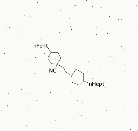 CCCCCCCC1CCC(CCC2(C#N)CCC(CCCCC)CC2)CC1